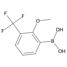 COc1c(B(O)O)cccc1C(F)(F)F